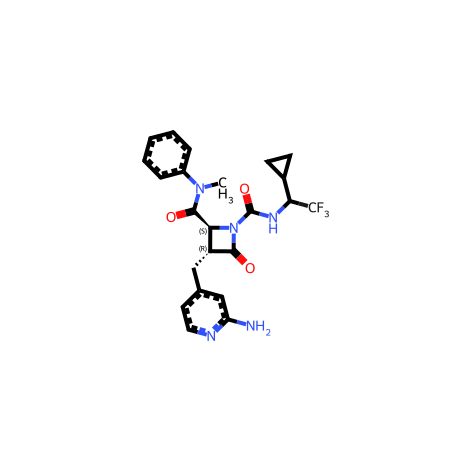 CN(C(=O)[C@@H]1[C@@H](Cc2ccnc(N)c2)C(=O)N1C(=O)NC(C1CC1)C(F)(F)F)c1ccccc1